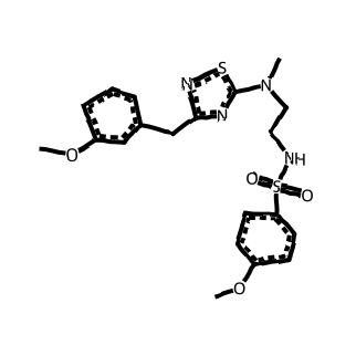 COc1ccc(S(=O)(=O)NCCN(C)c2nc(Cc3cccc(OC)c3)ns2)cc1